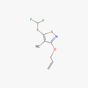 C=CCOc1nsc(SC(F)F)c1C#N